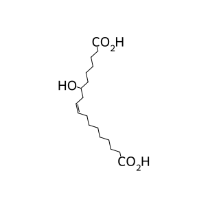 O=C(O)CCCCCCC/C=C\CC(O)CCCCCC(=O)O